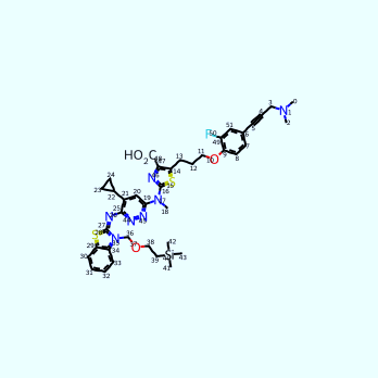 CN(C)CC#Cc1ccc(OCCCc2sc(N(C)c3cc(C4CC4)c(N=c4sc5ccccc5n4COCC[Si](C)(C)C)nn3)nc2C(=O)O)c(F)c1